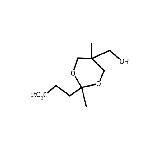 CCOC(=O)CCC1(C)OCC(C)(CO)CO1